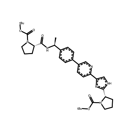 C[C@H](NC(=O)[C@@H]1CCCN1C(=O)OC(C)(C)C)c1ccc(-c2ccc(-c3c[nH]c([C@@H]4CCCN4C(=O)OC(C)(C)C)n3)nc2)cc1